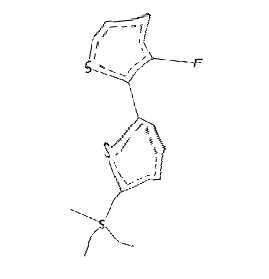 CS(C)(C)c1ccc(-c2sccc2F)s1